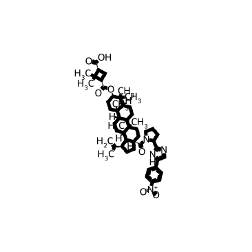 C=C(C)[C@@H]1CC[C@]2(C(=O)N3CCCC3c3ncc(-c4ccc([N+](=O)[O-])cc4)[nH]3)CC[C@]3(C)[C@H](CC[C@@H]4[C@@]5(C)CC[C@H](OC(=O)[C@H]6C[C@@H](C(=O)O)C6(C)C)C(C)(C)[C@@H]5CC[C@]43C)[C@@H]12